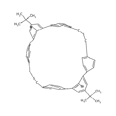 CC(C)(C)c1cc2c(Br)c(c1)-c1ccc(cc1)CSCc1ccc(cc1)-c1cc(C(C)(C)C)cc(c1Br)-c1ccc(cc1)CSCc1ccc-2cc1